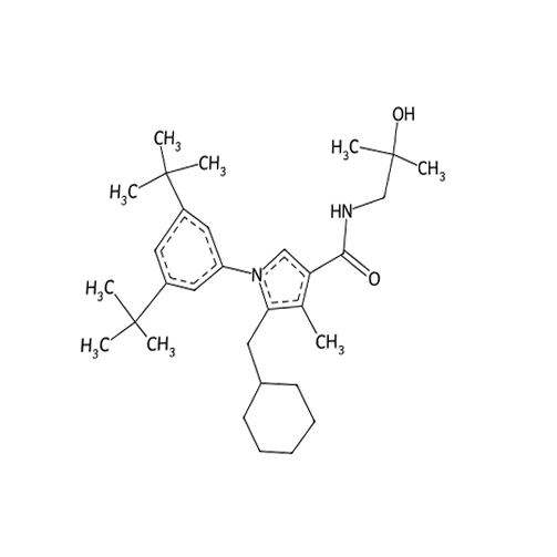 Cc1c(C(=O)NCC(C)(C)O)cn(-c2cc(C(C)(C)C)cc(C(C)(C)C)c2)c1CC1CCCCC1